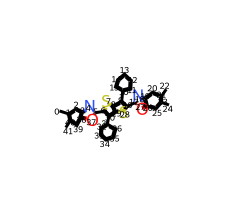 Cc1cc2nc(-c3sc4c(-c5ccccc5)c(-c5nc6cc(C)c(C)cc6o5)sc4c3-c3ccccc3)oc2cc1C